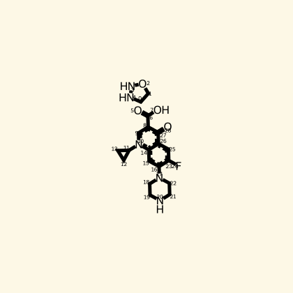 C1CONN1.O=C(O)c1cn(C2CC2)c2cc(N3CCNCC3)c(F)cc2c1=O